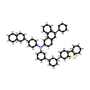 c1ccc(-c2cc3ccc(N(c4ccc(-c5ccc6ccccc6c5)cc4)c4cccc(-c5cccc(-c6ccc7c(c6)sc6ccccc67)c5)c4)cc3c3ccccc23)cc1